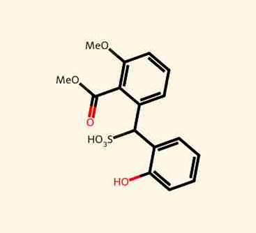 COC(=O)c1c(OC)cccc1C(c1ccccc1O)S(=O)(=O)O